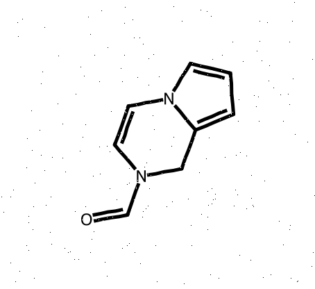 O=CN1C=Cn2cccc2C1